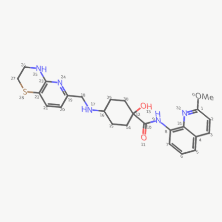 COc1ccc2cccc(NC(=O)C3(O)CCC(NCc4ccc5c(n4)NCCS5)CC3)c2n1